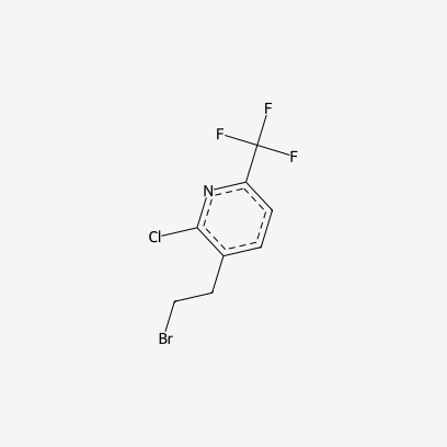 FC(F)(F)c1ccc(CCBr)c(Cl)n1